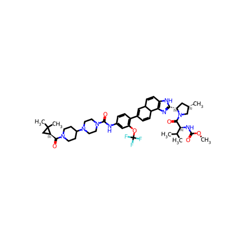 COC(=O)N[C@H](C(=O)N1C[C@@H](C)C[C@H]1c1nc2c([nH]1)C=CC1C=C(c3ccc(NC(=O)N4CCN(C5CCN(C(=O)[C@H]6CC6(C)C)CC5)CC4)cc3OC(F)(F)F)C=CC21)C(C)C